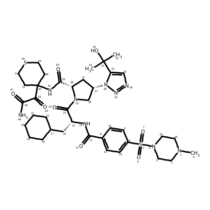 CN1CCN(S(=O)(=O)c2ccc(C(=O)N[C@H](CC3CCCCC3)C(=O)N3C[C@@H](n4nncc4C(C)(C)O)C[C@H]3C(=O)NC3(C(=O)C(N)=O)CCSCC3)cc2)CC1